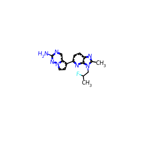 Cc1nc2ccc(-c3ccn4nc(N)ncc34)nc2n1CC(C)F